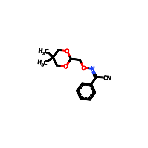 CC1(C)COC(CON=C(C#N)c2ccccc2)OC1